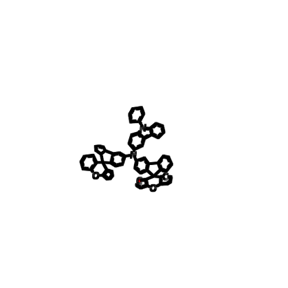 C1=CC2c3cc(N(c4ccc5c(c4)-c4ccccc4C54c5ccccc5Oc5ccccc54)c4ccc5c(c4)c4ccccc4n5-c4ccccc4)ccc3C3(c4ccccc4Oc4ccccc43)C2C=C1